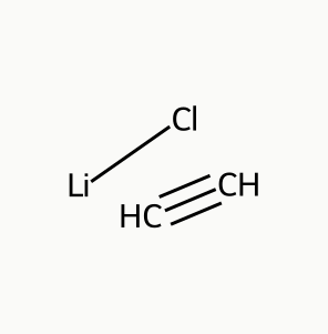 C#C.[Li][Cl]